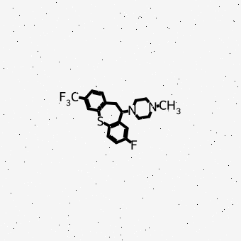 CN1CCN(C2Cc3ccc(C(F)(F)F)cc3Sc3ccc(F)cc32)CC1